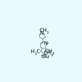 CC1C(C(C)[C@H](C)C(C)(C)C)CC=C(C2CCN(C)CC2)N2CC12